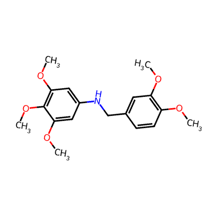 COc1ccc(CNc2cc(OC)c(OC)c(OC)c2)cc1OC